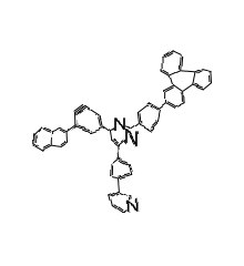 c1cc(-c2cc(-c3ccc(-c4cccnc4)cc3)nc(-c3ccc(-c4ccc5c6ccccc6c6ccccc6c5c4)cc3)n2)cc(-c2ccc3ccccc3c2)c#1